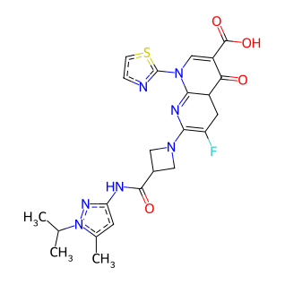 Cc1cc(NC(=O)C2CN(C3=C(F)CC4C(=O)C(C(=O)O)=CN(c5nccs5)C4=N3)C2)nn1C(C)C